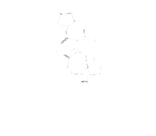 CC1CCC2(CNCC(=O)N([C@H](C(=O)N3CCCC3)[C@@H](C)O)C2)N1C(=O)OC(C)(C)C